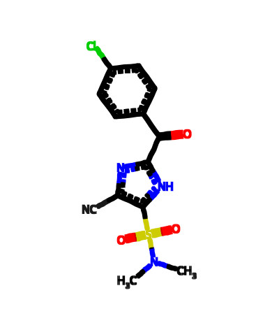 CN(C)S(=O)(=O)c1[nH]c(C(=O)c2ccc(Cl)cc2)nc1C#N